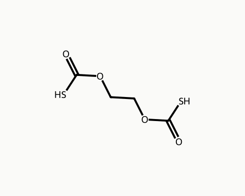 O=C(S)OCCOC(=O)S